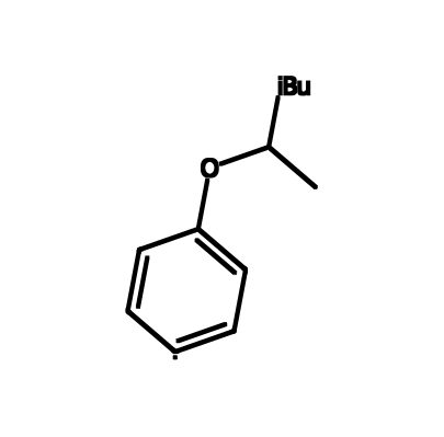 CCC(C)C(C)Oc1cc[c]cc1